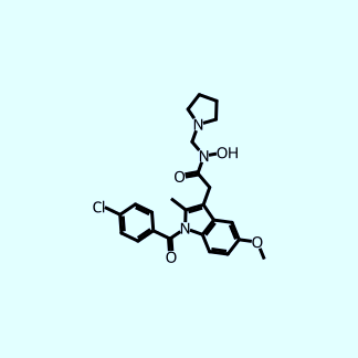 COc1ccc2c(c1)c(CC(=O)N(O)CN1CCCC1)c(C)n2C(=O)c1ccc(Cl)cc1